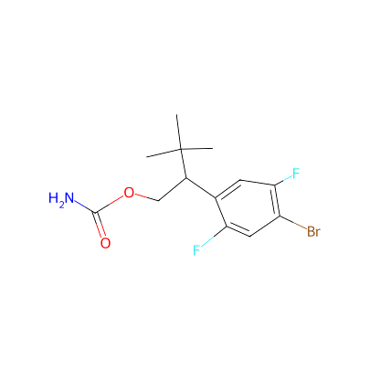 CC(C)(C)C(COC(N)=O)c1cc(F)c(Br)cc1F